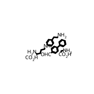 NCC(=O)O.NCCC[C@H](N)C(=O)O.NCCc1ccccc1.O=Cc1ccc(-c2ccccc2)cc1